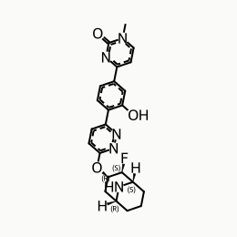 Cn1ccc(-c2ccc(-c3ccc(O[C@@H]4C[C@H]5CCC[C@H](N5)[C@@H]4F)nn3)c(O)c2)nc1=O